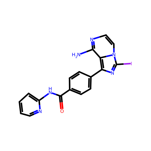 Nc1nccn2c(I)nc(-c3ccc(C(=O)Nc4ccccn4)cc3)c12